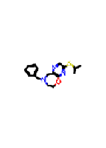 CC(C)Sc1cnc2c(n1)OCCN(Cc1ccccc1)C2